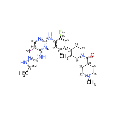 Cc1cc(Nc2nc(Nc3cc(C)c(C4CCN(C(=O)C5CCN(C)CC5)CC4)cc3F)ncc2I)n[nH]1